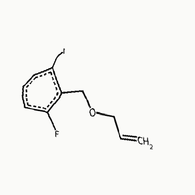 C=CCOCc1c(F)cccc1I